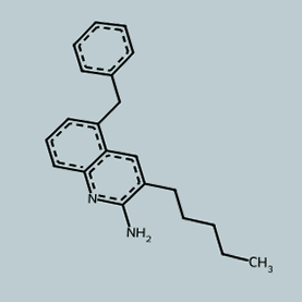 CCCCCc1cc2c(Cc3ccccc3)cccc2nc1N